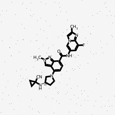 Cc1cn2cc(NC(=O)c3ccc(N4CC[C@H](NC5(C#N)CC5)C4)c4cn(C)nc34)cc(F)c2n1